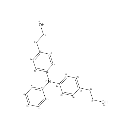 OCCc1ccc(N(c2ccccc2)c2ccc(CCO)cc2)cc1